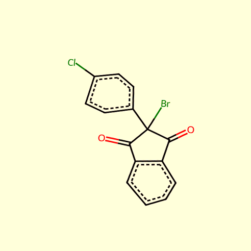 O=C1c2ccccc2C(=O)C1(Br)c1ccc(Cl)cc1